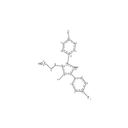 Cc1c(-c2ccc(F)cc2)[nH]c(-c2ccc(F)cc2)c1CCC(=O)O